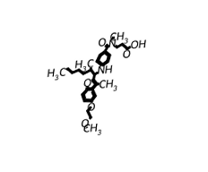 CCCCCC(C)C(Nc1ccc(C(=O)N(C)CCC(=O)O)cc1)c1oc2ccc(OCCOC)cc2c1C